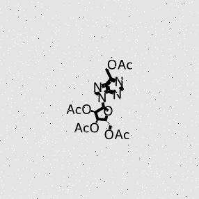 CC(=O)OCc1ncnc2c1ncn2C1O[C@H](COC(C)=O)[C@@H](OC(C)=O)[C@H]1OC(C)=O